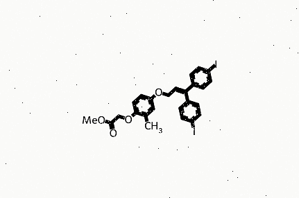 COC(=O)COc1ccc(OCC=C(c2ccc(I)cc2)c2ccc(I)cc2)cc1C